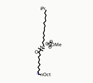 CCCCCCCC/C=C\CCCCCCCC(=O)C(C)(C)[N+](C)(C)CCCCCCCCCCCCCCCC(C)C.COS(=O)(=O)[O-]